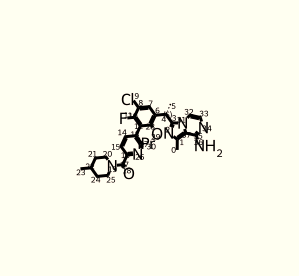 Cc1nc([C@@H](C)c2cc(Cl)c(F)c(-c3ccc(C(=O)N4CCC(C)CC4)nc3)c2OC(C)C)n2ccnc(N)c12